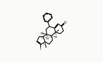 C[C@]12CCC(=O)C=C1C(c1ccccc1)C[C@@H]1[C@@H]2CC[C@]2(C)C(I)=CC[C@@H]12